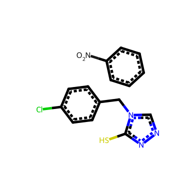 O=[N+]([O-])c1ccccc1.Sc1nncn1Cc1ccc(Cl)cc1